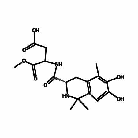 COC(=O)C(CC(=O)O)NC(=O)[C@@H]1Cc2c(cc(O)c(O)c2C)C(C)(C)N1